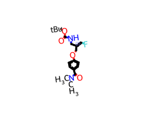 CN(C)C(=O)c1ccc(OC/C(=C\F)CNC(=O)OC(C)(C)C)cc1